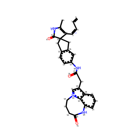 C=C/C=C\C1=C(C)NC(=O)C12Cc1ccc(NC(=O)Cc3cn4c5c(cccc35)NC(=O)CCC4)cc1C2